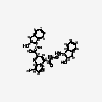 O=C(N[C@H]1c2ccccc2C[C@H]1O)c1cc(C(=O)NON[C@H]2c3ccccc3C[C@H]2O)n2ncc(F)c2n1